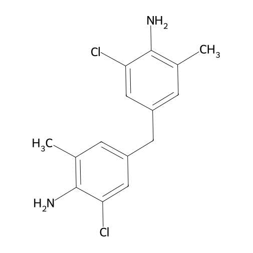 Cc1cc(Cc2cc(C)c(N)c(Cl)c2)cc(Cl)c1N